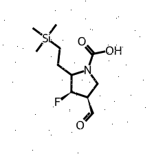 C[Si](C)(C)CCC1[C@H](F)[C@H](C=O)CN1C(=O)O